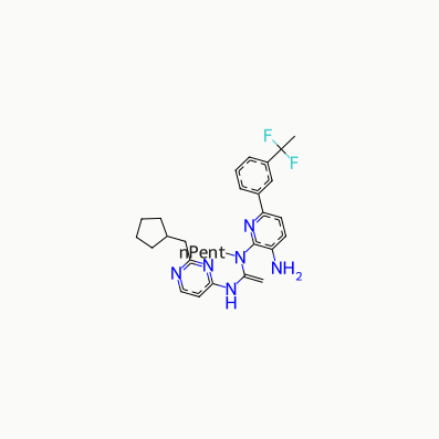 C=C(Nc1ccnc(CC2CCCC2)n1)N(CCCCC)c1nc(-c2cccc(C(C)(F)F)c2)ccc1N